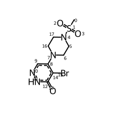 CS(=O)(=O)N1CCN(c2cn[nH]c(=O)c2Br)CC1